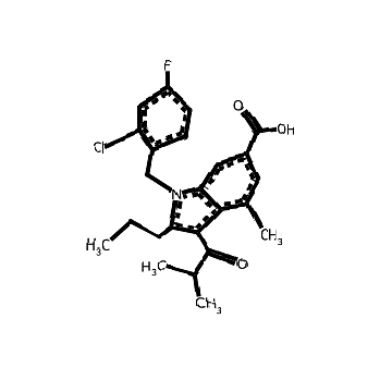 CCCc1c(C(=O)C(C)C)c2c(C)cc(C(=O)O)cc2n1Cc1ccc(F)cc1Cl